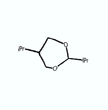 CC(C)C1COC(C(C)C)OC1